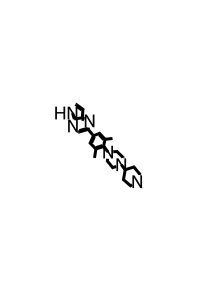 Cc1cc(-c2cnc3[nH]ccc3n2)cc(C)c1N1CCN(C2CCN(C)CC2)CC1